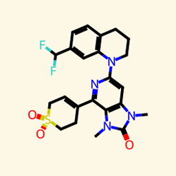 Cn1c(=O)n(C)c2c(C3=CCS(=O)(=O)CC3)nc(N3CCCc4ccc(C(F)F)cc43)cc21